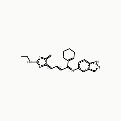 C=c1sc(NCC)n/c1=C/C=C/C(=N/c1ccc2[nH]ncc2c1)C1=CCCCC1